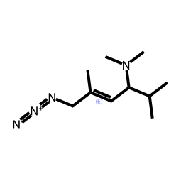 C/C(=C\C(C(C)C)N(C)C)CN=[N+]=[N-]